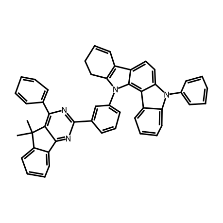 CC1(C)c2ccccc2-c2nc(-c3cccc(-n4c5c(c6ccc7c(c8ccccc8n7-c7ccccc7)c64)C=CCC5)c3)nc(-c3ccccc3)c21